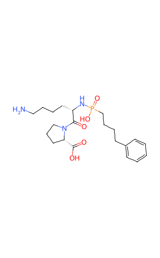 NCCCC[C@H](NP(=O)(O)CCCCc1ccccc1)C(=O)N1CCC[C@H]1C(=O)O